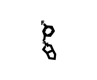 Fc1cccc(SN2CC3CCCC3C2)c1